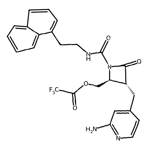 Nc1cc(C[C@H]2C(=O)N(C(=O)NCCc3cccc4ccccc34)[C@@H]2COC(=O)C(F)(F)F)ccn1